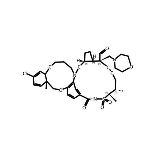 C[C@@H]1[C@@H](C)CCC[C@](C=O)(CN2CCOCC2)[C@@H]2CC[C@H]2CN2CCCCC3C=C(Cl)C=CC3(C)COc3ccc(cc32)C(=O)NS1(=O)=O